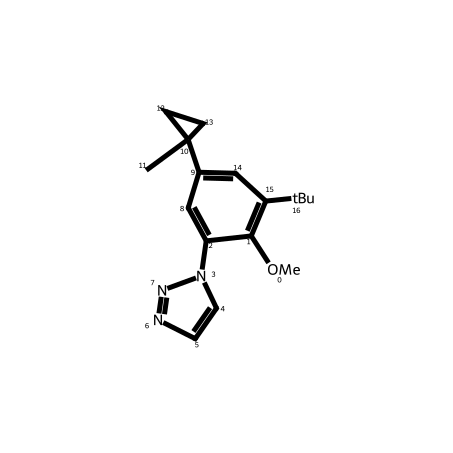 COc1c(-n2ccnn2)cc(C2(C)CC2)cc1C(C)(C)C